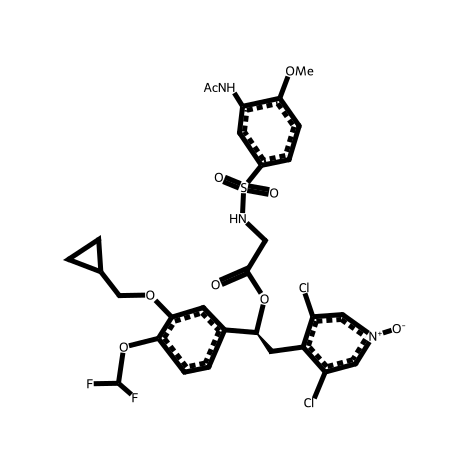 COc1ccc(S(=O)(=O)NCC(=O)O[C@@H](Cc2c(Cl)c[n+]([O-])cc2Cl)c2ccc(OC(F)F)c(OCC3CC3)c2)cc1NC(C)=O